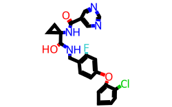 O=C(NC1(C(O)NCc2ccc(Oc3ccccc3Cl)cc2F)CC1)c1cncnc1